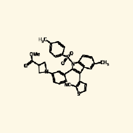 COC(=O)C1CN(c2cccc(-c3c(-c4ccsc4C#N)c4cc(C)ccc4n3S(=O)(=O)c3ccc(C)cc3)c2)C1